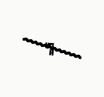 CCCCCCCCCCCCNCCCCCCCCCCCC.Cl